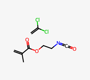 C=C(C)C(=O)OCCN=C=O.C=C(Cl)Cl